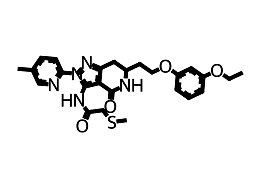 CCOc1cccc(OCCC2Cc3nn(-c4ccc(C)cn4)c(NC(=O)CSC)c3C(=O)N2)c1